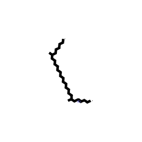 [CH2]CC/C=C/CC(C)CCCCCCCCCCCCCCC(C)CCCCC[CH2]